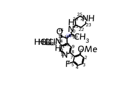 COc1cccc(F)c1-c1cc2c(cn1)NC(=O)/C2=C(/C)NC1CCNCC1.Cl.Cl.Cl